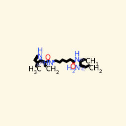 C=C/C=C(N)\C(=C/C)NC(=O)CCCCCNC(=O)/C(C=C)=c1\[nH]cc\c1=C\C